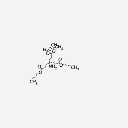 CCCCOC(=O)CCC(N)(CCC(=O)OCCCC)CCC(=O)OC(C)(C)C